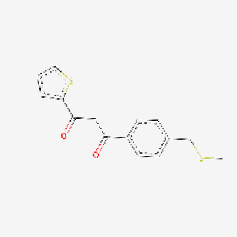 CSCc1ccc(C(=O)CC(=O)c2cccs2)cc1